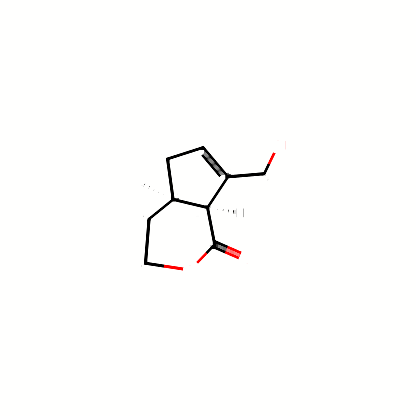 O=C1OCC[C@H]2CC=C(CO)[C@@H]12